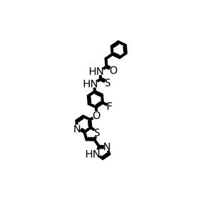 O=C(Cc1ccccc1)NC(=S)Nc1ccc(Oc2ccnc3cc(-c4ncc[nH]4)sc23)c(F)c1